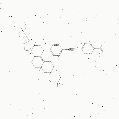 C=C(O)c1ccc(C#Cc2ccc([C@H]3CC4(C)C(CCC4(O)C(F)(F)C(F)(F)F)C4CCC5(O)CC6(CCC5=C43)OCC(C)(C)CO6)cc2)cc1